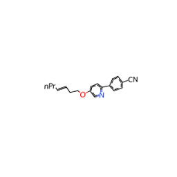 CCCC=CCCOc1ccc(-c2ccc(C#N)cc2)nc1